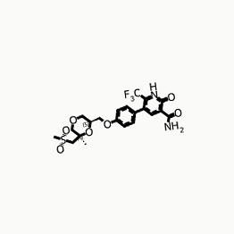 C[C@]1(CS(C)(=O)=O)COC[C@@H](COc2ccc(-c3cc(C(N)=O)c(=O)[nH]c3C(F)(F)F)cc2)O1